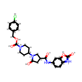 O=C(Nc1ccc2[nH]c(=O)oc2c1)C1CC(=O)N(C2CCN(C(=O)OCc3ccc(Cl)cc3)CC2)C1